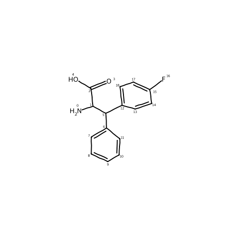 NC(C(=O)O)C(c1ccccc1)c1ccc(F)cc1